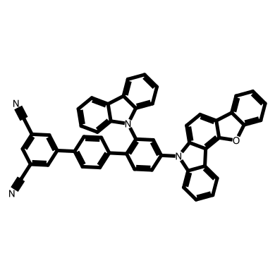 N#Cc1cc(C#N)cc(-c2ccc(-c3ccc(-n4c5ccccc5c5c6oc7ccccc7c6ccc54)cc3-n3c4ccccc4c4ccccc43)cc2)c1